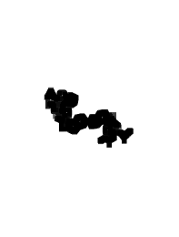 CCCN(Cc1nc2ccc3cc(-c4ccc5c(ccc6nc(CN(C(=O)C[C@@H](C)CC)C7C(C)[C@H]7C)[nH]c65)c4)ccc3c2[nH]1)C(=O)[C@H](NC(=O)C1CC1)c1ccccc1